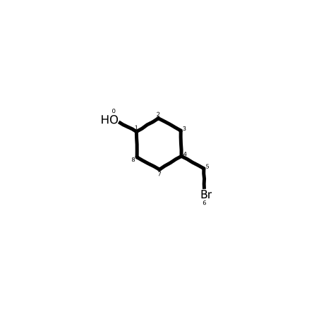 OC1CCC(CBr)CC1